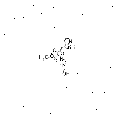 CCOC(=O)C1=C(N2CCN(CCO)CC2)O/C(=C\c2c[nH]c3ncccc23)C1=O